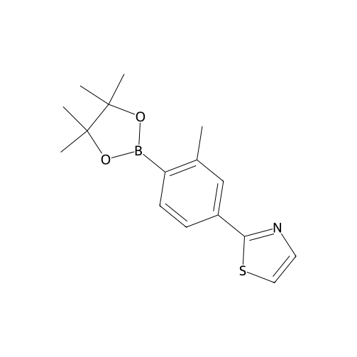 Cc1cc(-c2nccs2)ccc1B1OC(C)(C)C(C)(C)O1